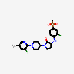 CS(=O)(=O)c1ccc(N[C@H]2CCN(C3CCN(c4ncc(C(F)(F)F)cc4F)CC3)C2=O)c(F)c1